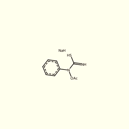 CC(=O)ON(C(=N)S)c1ccccc1.[NaH]